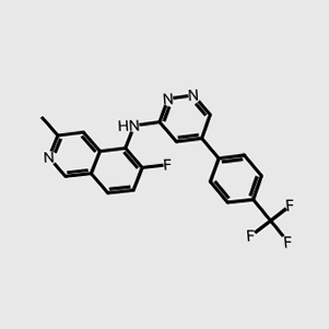 Cc1cc2c(Nc3cc(-c4ccc(C(F)(F)F)cc4)cnn3)c(F)ccc2cn1